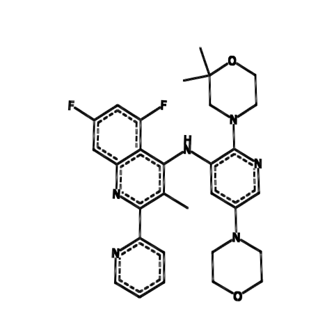 Cc1c(-c2ccccn2)nc2cc(F)cc(F)c2c1Nc1cc(N2CCOCC2)cnc1N1CCOC(C)(C)C1